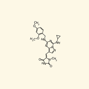 COc1ccc(CNc2nc(NC3CC3)n3ncc(/C=C4/C(=O)NC(=O)N4C)c3n2)c(OC)c1